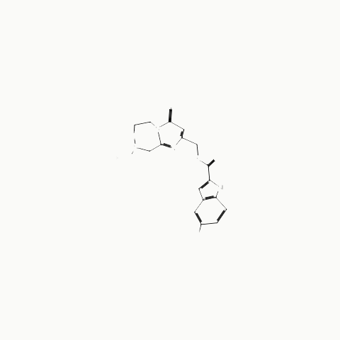 O=C(NCc1cc(=O)n2c(n1)CN(C(=O)O)CCC2)c1cc2cc(Cl)ccc2[nH]1